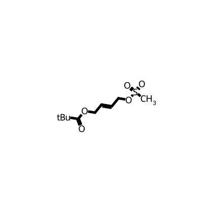 CC(C)(C)C(=O)OCC=CCOS(C)(=O)=O